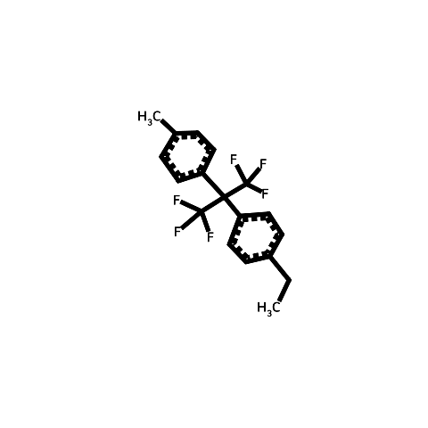 CCc1ccc(C(c2ccc(C)cc2)(C(F)(F)F)C(F)(F)F)cc1